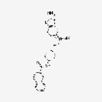 CCCN(CC[C@H]1CC[C@H](NC(=O)c2ccc3ccccc3c2)CC1)[C@H]1CCc2nc(N)sc2C1